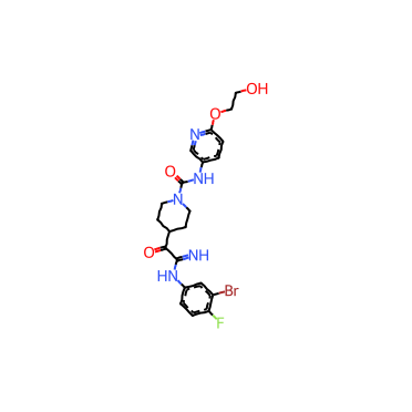 N=C(Nc1ccc(F)c(Br)c1)C(=O)C1CCN(C(=O)Nc2ccc(OCCO)nc2)CC1